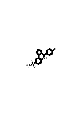 NS(=O)(=O)c1ccc2c(c1)C1C=CCC1C(c1ccc(F)cc1)N2